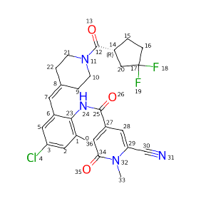 Cc1cc(Cl)cc(C=C2CCN(C(=O)[C@@H]3CCC(F)(F)C3)CC2)c1NC(=O)c1cc(C#N)n(C)c(=O)c1